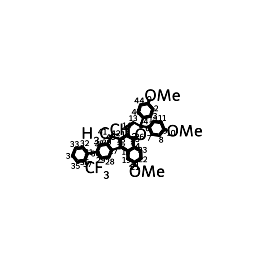 COc1ccc(C2(c3ccc(OC)cc3)C=Cc3c4c(c5cc(OC)ccc5c3O2)-c2ccc(-c3ccccc3C(F)(F)F)cc2C4(C)C)cc1